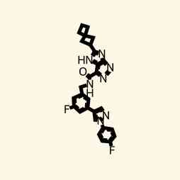 O=C(NCc1cc(F)cc(-c2cnn(-c3ccc(F)cc3)c2)c1)c1ncnc2nc(C3CC4(CCC4)C3)[nH]c12